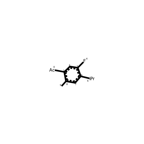 CC(=O)c1cc(F)c(C(C)C)cc1C